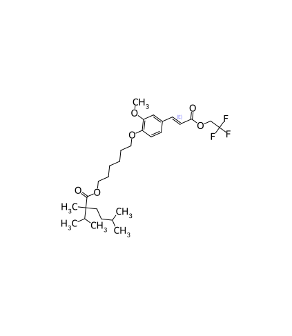 COc1cc(/C=C/C(=O)OCC(F)(F)F)ccc1OCCCCCCOC(=O)C(C)(CCC(C)C)C(C)C